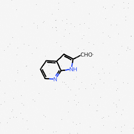 O=[C]c1cc2cccnc2[nH]1